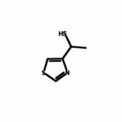 CC(S)c1cscn1